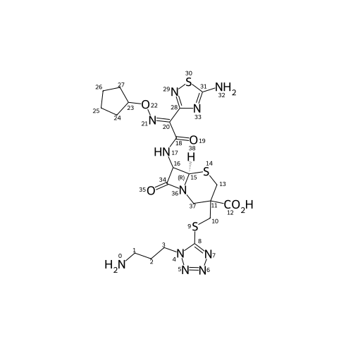 NCCCn1nnnc1SCC1(C(=O)O)CS[C@@H]2C(NC(=O)C(=NOC3CCCC3)c3nsc(N)n3)C(=O)N2C1